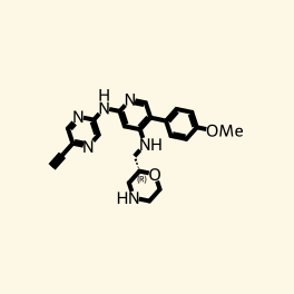 C#Cc1cnc(Nc2cc(NC[C@H]3CNCCO3)c(-c3ccc(OC)cc3)cn2)cn1